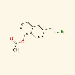 CC(=O)Oc1cccc2cc(CCBr)ccc12